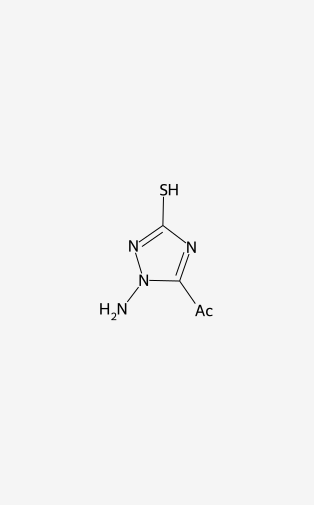 CC(=O)c1nc(S)nn1N